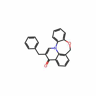 O=c1c(Cc2ccccc2)cn2c3c(cccc13)COc1ccccc1-2